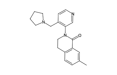 Cc1ccc2c(c1)C(=O)N(c1cnccc1CN1CCCC1)CC2